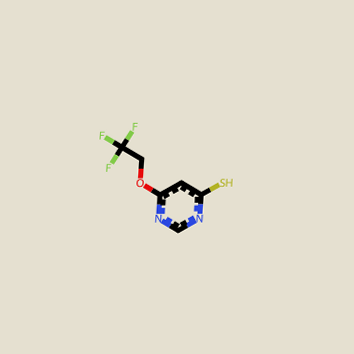 FC(F)(F)COc1cc(S)ncn1